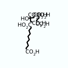 O=C(O)CC(O)(CC(=O)O)C(=O)O.O=C(O)CCC(=O)O.O=C(O)CCCCCCCCC(=O)O